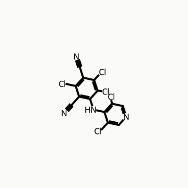 N#Cc1c(Cl)c(Cl)c(Nc2c(Cl)cncc2Cl)c(C#N)c1Cl